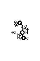 CNC(=O)N(CCc1cccc(S(C)(=O)=O)c1)[C@H]1CC[C@@](CN)(c2cccc(Cl)c2)CC1.Cl